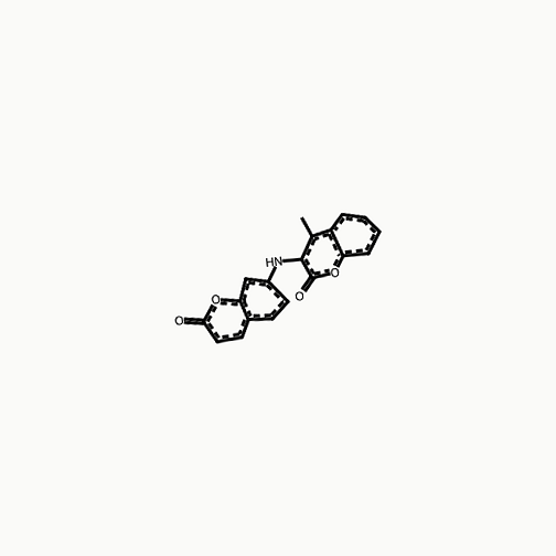 Cc1c(Nc2ccc3ccc(=O)oc3c2)c(=O)oc2ccccc12